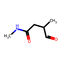 CNC(=O)CC(C)[C]=O